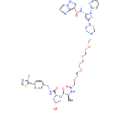 Cc1ccc(-n2nc(N3CCN(CCOCCOCCOCCOCC(=O)N[C@H](C(=O)N4C[C@H](O)C[C@H]4C(=O)NCc4ccc(-c5scnc5C)cc4)C(C)(C)C)CC3)cc2NC(=O)c2cnn3cccnc23)nc1